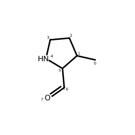 CC1CCNC1[C]=O